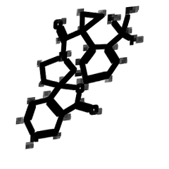 O=C1OC2(CCN(C(=O)C3(c4ccccc4C(F)(F)F)CC3)C2)c2ccncc21